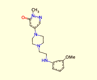 COc1cccc(NCCN2CCN(c3cnn(C)c(=O)c3)CC2)c1